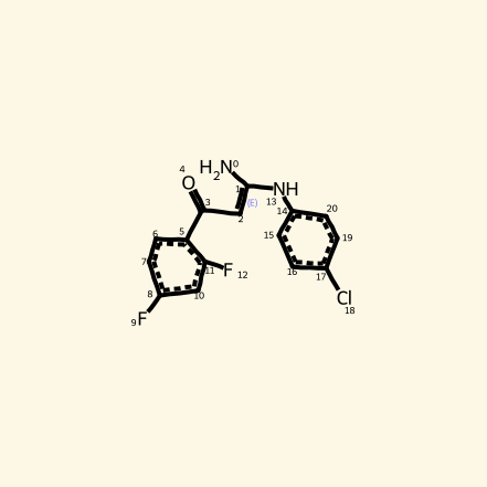 N/C(=C\C(=O)c1ccc(F)cc1F)Nc1ccc(Cl)cc1